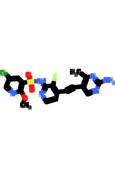 COc1ncc(Cl)cc1S(=O)(=O)Nc1nccc(C#Cc2cnc(N)nc2C)c1F